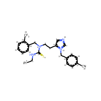 CC(C)CNC(=S)N(CCc1cncn1Cc1ccc(C#N)cc1)Cc1ccccc1C(F)(F)F